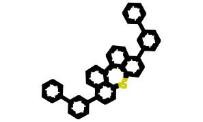 c1ccc(-c2cccc(-c3ccc4sc5ccc(-c6cccc(-c7ccccc7)c6)c6cccc(c7cccc3c47)c56)c2)cc1